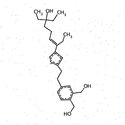 CCC(=CCCC(O)(CC)CC)c1csc(CCc2ccc(CO)c(CO)c2)c1